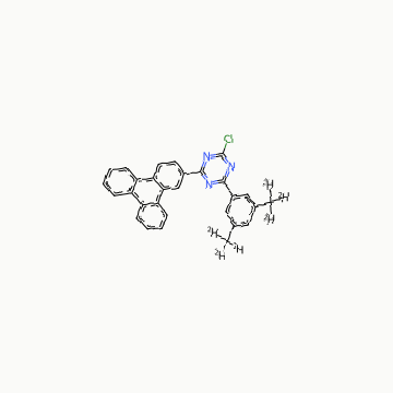 [2H]C([2H])([2H])c1cc(-c2nc(Cl)nc(-c3ccc4c5ccccc5c5ccccc5c4c3)n2)cc(C([2H])([2H])[2H])c1